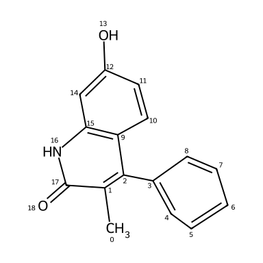 Cc1c(-c2ccccc2)c2ccc(O)cc2[nH]c1=O